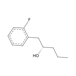 CCC[C@H](O)Cc1ccccc1F